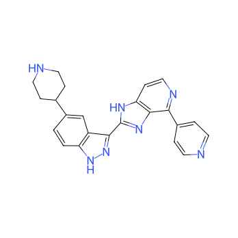 c1cc(-c2nccc3[nH]c(-c4n[nH]c5ccc(C6CCNCC6)cc45)nc23)ccn1